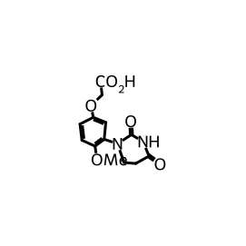 COc1ccc(OCC(=O)O)cc1N1CCC(=O)NC1=O